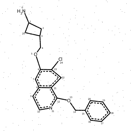 NC1CC(COc2cc3ccnc(OCc4ccccc4)c3cc2Cl)C1